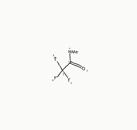 C[N]C(=O)C(F)(F)F